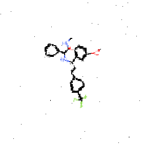 CNC(=O)C(N[C@H](CCc1ccc(C(F)(F)F)cc1)c1cccc(OC)c1)c1ccccc1